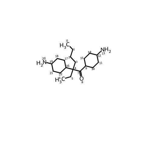 CCCCC(CC)(C(=O)C1CCC(N)CC1)C1CCC(N)CC1